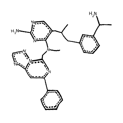 CC(N)c1cccc(CC(C)c2cnc(N)nc2N(C)c2nc(-c3ccccc3)cc3ncnn23)c1